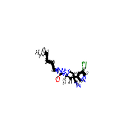 CCCCCNC(=O)N1CCC(C#N)(c2cncc(Cl)c2)CC1